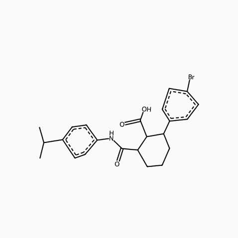 CC(C)c1ccc(NC(=O)C2CCCC(c3ccc(Br)cc3)C2C(=O)O)cc1